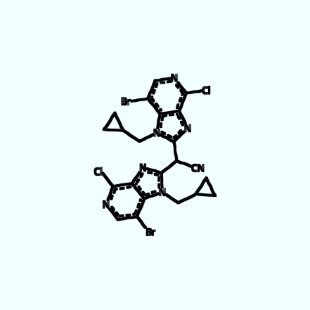 N#CC(c1nc2c(Cl)ncc(Br)c2n1CC1CC1)c1nc2c(Cl)ncc(Br)c2n1CC1CC1